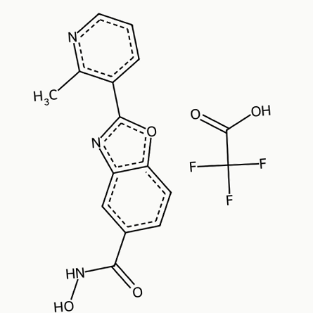 Cc1ncccc1-c1nc2cc(C(=O)NO)ccc2o1.O=C(O)C(F)(F)F